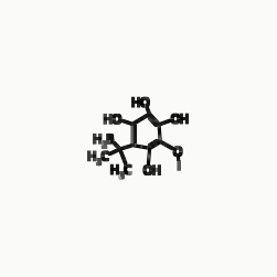 BC(C)(C)c1c(O)c(O)c(O)c(OI)c1O